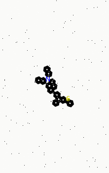 c1ccc2cc(N(c3ccc4ccccc4c3)c3ccc4ccc5c(-c6ccc7c(c6)c6ccccc6c6cc8c(cc76)sc6ccccc68)ccc6ccc3c4c65)ccc2c1